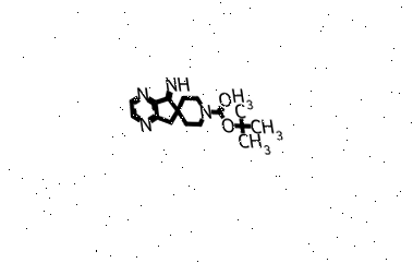 CC(C)(C)OC(=O)N1CCC2(CC1)Cc1nccnc1C2=N